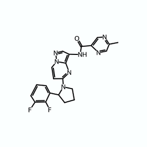 Cc1cnc(C(=O)Nc2cnn3ccc(N4CCCC4c4cccc(F)c4F)nc23)cn1